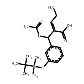 CCC=C(C(=O)O)C(OC(C)=O)c1cccc(O[Si](C)(C)C(C)(C)C)c1